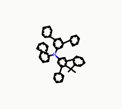 CC1(C)c2ccccc2-c2cc(N(c3cc(-c4ccccc4)cc(-c4ccccc4)c3)c3cccc4ccccc34)cc(-c3ccccc3)c21